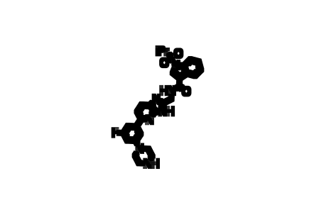 CC(C)S(=O)(=O)n1cc(C(=O)NCc2nc3ccc(-c4cc(F)cc(N5CCNCC5)c4)nc3[nH]2)c2ccccc21